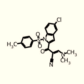 Cc1ccc(S(=O)(=O)n2c(C(=O)C(C#N)=CN(C)C)cc3cc(Cl)ccc32)cc1